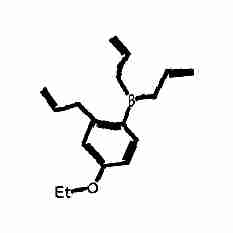 C=CCB(CC=C)c1ccc(OCC)cc1CC=C